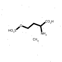 C.NC(CCOS(=O)(=O)O)C(=O)O